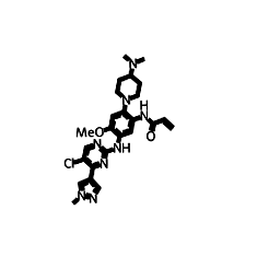 C=CC(=O)Nc1cc(Nc2ncc(Cl)c(-c3cnn(C)c3)n2)c(OC)cc1N1CCC(N(C)C)CC1